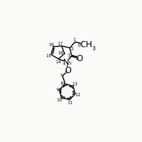 CCC1C(=O)N(OCc2ccccc2)C2C=CC1C2